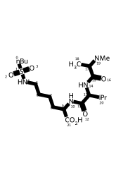 CCCCS(=O)(=O)NCCCCC(NC(=O)C(NC(=O)C(C)NC)C(C)C)C(=O)O